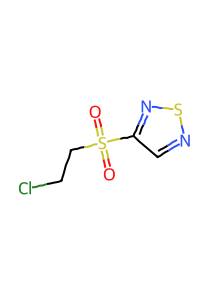 O=S(=O)(CCCl)c1cnsn1